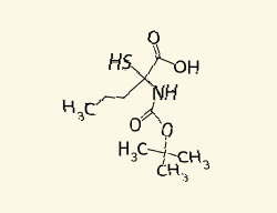 CCCC(S)(NC(=O)OC(C)(C)C)C(=O)O